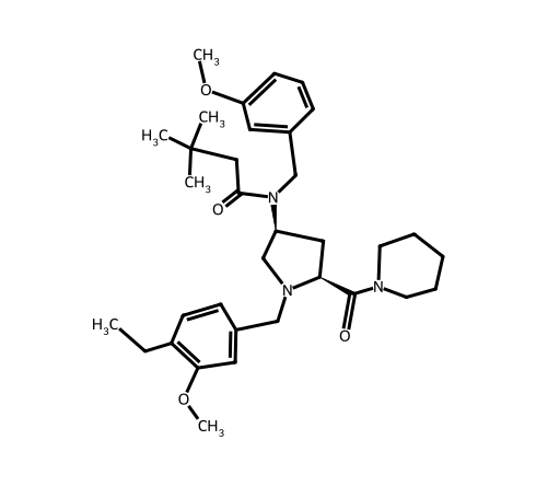 CCc1ccc(CN2C[C@@H](N(Cc3cccc(OC)c3)C(=O)CC(C)(C)C)C[C@H]2C(=O)N2CCCCC2)cc1OC